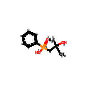 CC(C)(O)CP(=O)(O)c1ccccc1